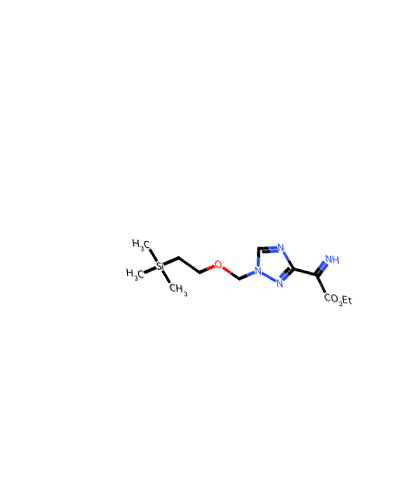 CCOC(=O)C(=N)c1ncn(COCC[Si](C)(C)C)n1